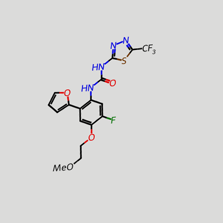 COCCOc1cc(-c2ccco2)c(NC(=O)Nc2nnc(C(F)(F)F)s2)cc1F